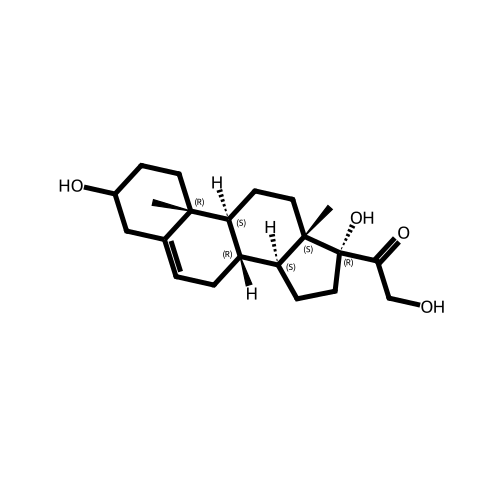 C[C@]12CCC(O)CC1=CC[C@@H]1[C@@H]2CC[C@@]2(C)[C@H]1CC[C@]2(O)C(=O)CO